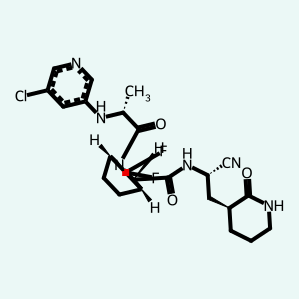 C[C@@H](Nc1cncc(Cl)c1)C(=O)N1[C@H]2CC[C@@H]([C@H]1C(=O)N[C@H](C#N)C[C@@H]1CCCNC1=O)C(F)(F)C2